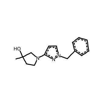 CC1(O)CCN(c2ccn(Cc3ccccc3)n2)C1